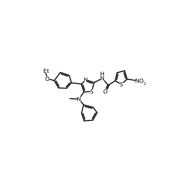 CCOc1ccc(-c2nc(NC(=O)c3ccc([N+](=O)[O-])s3)sc2N(C)c2ccccc2)cc1